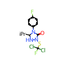 CC(C)C1NN(SC(F)(Cl)Cl)C(=O)N1c1ccc(F)cc1